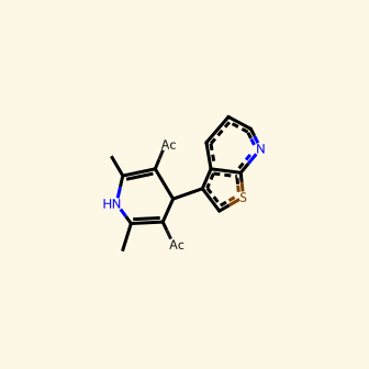 CC(=O)C1=C(C)NC(C)=C(C(C)=O)C1c1csc2ncccc12